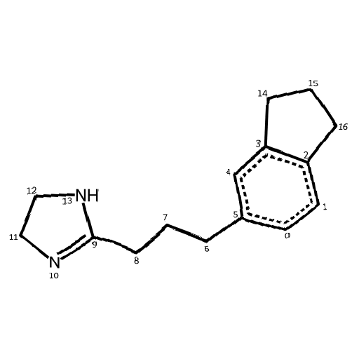 c1cc2c(cc1CCCC1=NCCN1)CCC2